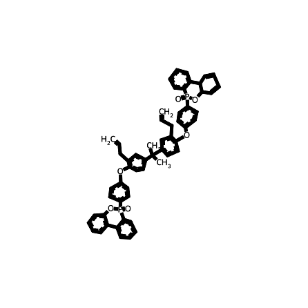 C=CCc1cc(C(C)(C)c2ccc(Oc3ccc(P4(=O)OC5C=CC=CC5c5ccccc54)cc3)c(CC=C)c2)ccc1Oc1ccc(P2(=O)Oc3ccccc3-c3ccccc32)cc1